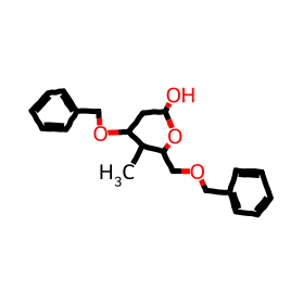 CC1C(OCc2ccccc2)CC(O)OC1COCc1ccccc1